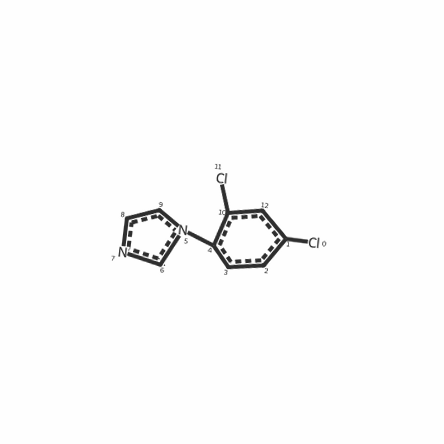 Clc1ccc(-n2[c]ncc2)c(Cl)c1